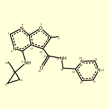 Cc1oc2ncnc(NC3(C)CC3)c2c1C(=O)NCc1ccncn1